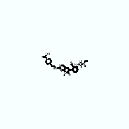 CCN(C)S(=O)(=O)Nc1cccc(-c2cc3cnc(NCCC4CCN(C(=O)O)CC4)nc3n(C)c2=O)c1C#N